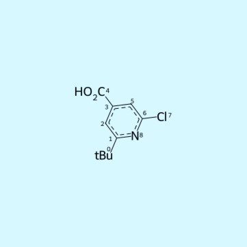 CC(C)(C)c1cc(C(=O)O)cc(Cl)n1